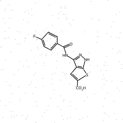 O=C(Nc1n[nH]c2sc(C(=O)O)cc12)c1ccc(F)cc1